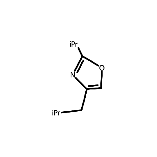 CC(C)Cc1coc(C(C)C)n1